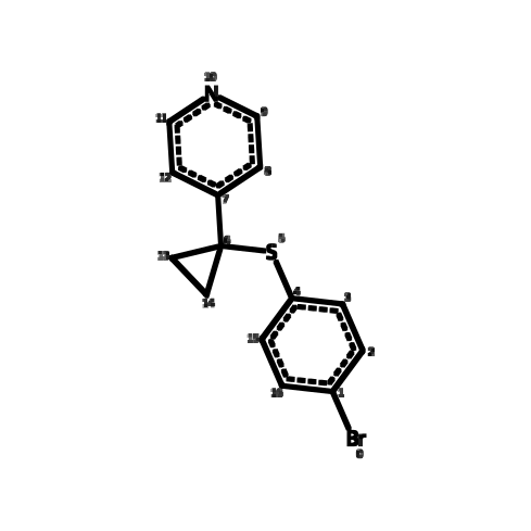 Brc1ccc(SC2(c3ccncc3)CC2)cc1